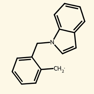 [CH2]c1ccccc1Cn1ccc2ccccc21